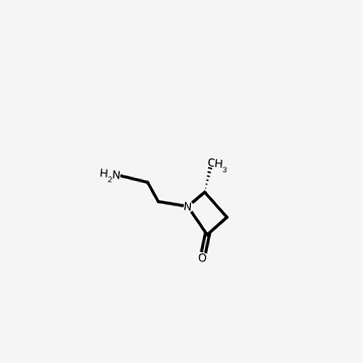 C[C@@H]1CC(=O)N1CCN